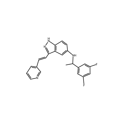 CC(Nc1ccc2[nH]nc(C=Cc3cccnc3)c2c1)c1cc(F)cc(F)c1